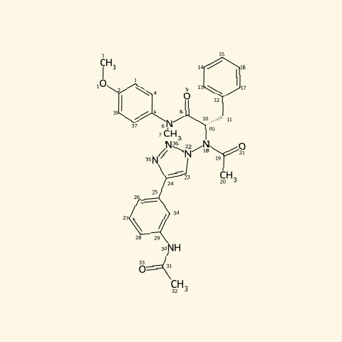 COc1ccc(N(C)C(=O)[C@H](Cc2ccccc2)N(C(C)=O)n2cc(-c3cccc(NC(C)=O)c3)nn2)cc1